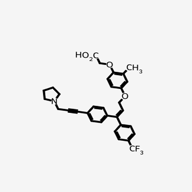 Cc1cc(OC/C=C(\c2ccc(C#CCN3CCCC3)cc2)c2ccc(C(F)(F)F)cc2)ccc1OCC(=O)O